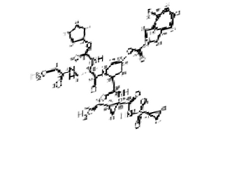 C=CC(=O)NC[C@H](NC(=O)OC1CCCC1)C(=O)N1C[C@H](OC(=O)N2Cc3cccc(F)c3C2)CC1C(=O)N[C@]1(C(=O)NS(=O)(=O)C2CC2)C[C@H]1C=C